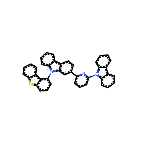 c1cc(-c2ccc3c4ccccc4n(-c4cccc5sc6ccccc6c45)c3c2)nc(-n2c3ccccc3c3ccccc32)c1